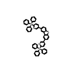 c1ccc([Si](c2ccccc2)(c2ccccc2)c2ccc(-c3ccc4sc5ccc(-c6ccc([Si](c7ccccc7)(c7ccccc7)c7ccccc7)nc6)cc5c4c3)cn2)cc1